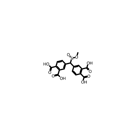 CO[Si](=O)C(c1ccc(C(=O)O)c(C(=O)O)c1)c1ccc(C(=O)O)c(C(=O)O)c1